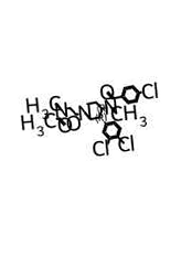 CC(=O)N(C)CC(=O)N1CC[C@@H](N(C)C(=O)c2ccc(Cl)cc2)[C@H](c2ccc(Cl)c(Cl)c2)C1